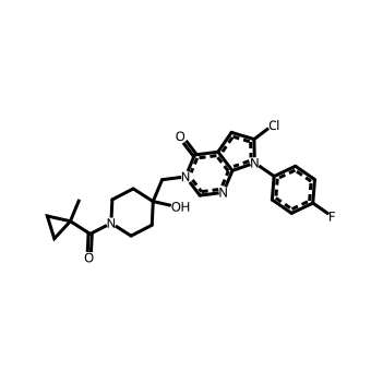 CC1(C(=O)N2CCC(O)(Cn3cnc4c(cc(Cl)n4-c4ccc(F)cc4)c3=O)CC2)CC1